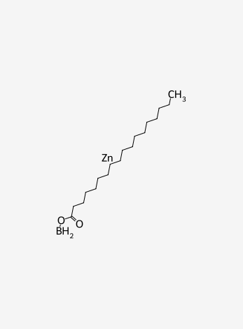 BOC(=O)CCCCCCCCCCCCCCCCC.[Zn]